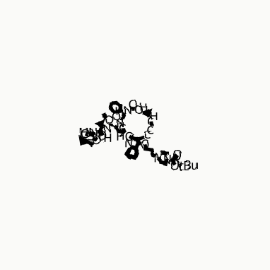 C=C[C@@H]1C[C@]1(NC(=O)[C@@H]1C[C@@H]2CN1C(=O)[C@H](C1CCCCC1)NC(=O)O[C@@H]1C[C@H]1CCCCCc1c(nc3ccccc3c1OCCCN1CCN(C(=O)OC(C)(C)C)CC1)O2)C(=O)NS(=O)(=O)C1(C)CC1